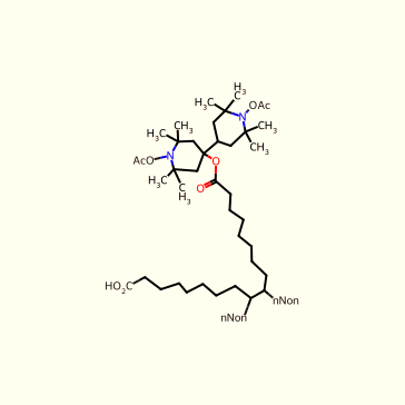 CCCCCCCCCC(CCCCCCCC(=O)O)C(CCCCCCCCC)CCCCCCCC(=O)OC1(C2CC(C)(C)N(OC(C)=O)C(C)(C)C2)CC(C)(C)N(OC(C)=O)C(C)(C)C1